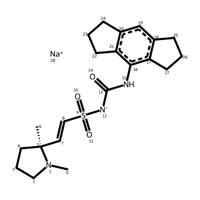 CN1CCC[C@@]1(C)/C=C/S(=O)(=O)[N-]C(=O)Nc1c2c(cc3c1CCC3)CCC2.[Na+]